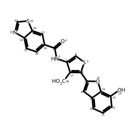 O=C(Nc1csc(-c2cc3cccc(O)c3o2)c1C(=O)O)c1ccc2ncsc2c1